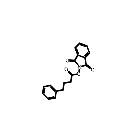 O=C(CCCc1ccccc1)ON1C(=O)c2ccccc2C1=O